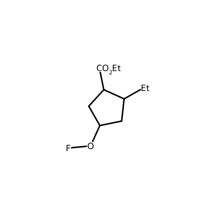 CCOC(=O)C1CC(OF)CC1CC